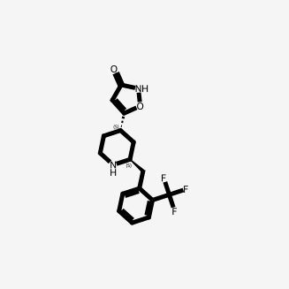 O=c1cc([C@H]2CCN[C@H](Cc3ccccc3C(F)(F)F)C2)o[nH]1